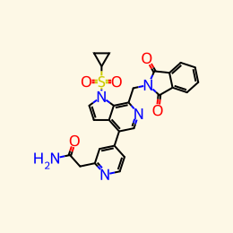 NC(=O)Cc1cc(-c2cnc(CN3C(=O)c4ccccc4C3=O)c3c2ccn3S(=O)(=O)C2CC2)ccn1